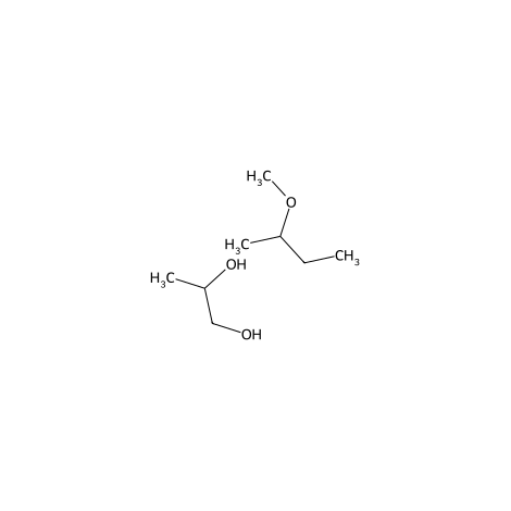 CC(O)CO.CCC(C)OC